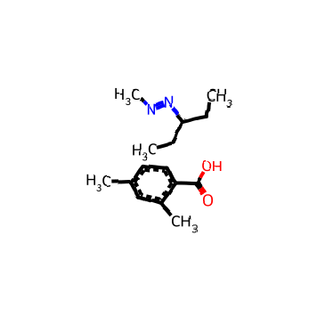 CCC(CC)N=NC.Cc1ccc(C(=O)O)c(C)c1